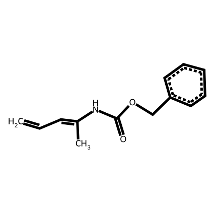 C=C/C=C(\C)NC(=O)OCc1ccccc1